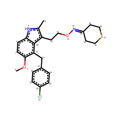 COc1ccc2[nH]c(C)c(CCON=C3CCSCC3)c2c1Cc1ccc(Cl)cc1